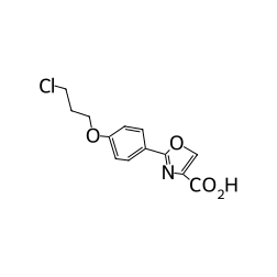 O=C(O)c1coc(-c2ccc(OCCCCl)cc2)n1